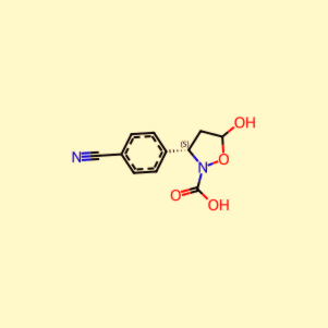 N#Cc1ccc([C@@H]2CC(O)ON2C(=O)O)cc1